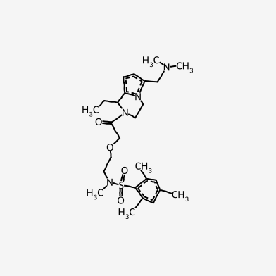 CCC1c2ccc(CN(C)C)n2CCN1C(=O)COCCN(C)S(=O)(=O)c1c(C)cc(C)cc1C